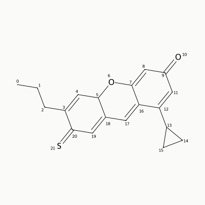 CCCC1=CC2OC3=CC(=O)C=C(C4CC4)C3=CC2=CC1=S